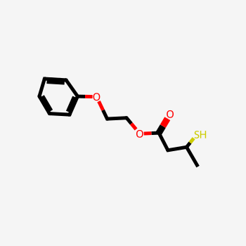 CC(S)CC(=O)OCCOc1ccccc1